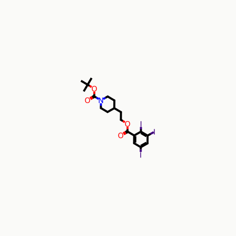 CC(C)(C)OC(=O)N1CCC(CCOC(=O)c2cc(I)cc(I)c2I)CC1